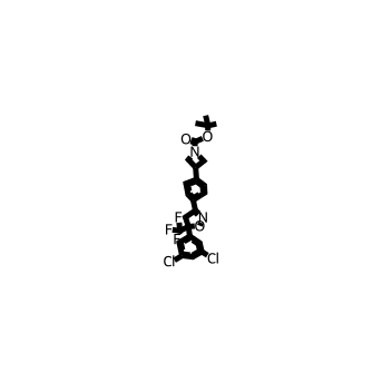 CC(C)(C)OC(=O)N1CC(c2ccc(C3=NOC(c4cc(Cl)cc(Cl)c4)(C(F)(F)F)C3)cc2)C1